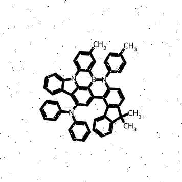 Cc1ccc(N2B3c4cc(C)ccc4-n4c5ccccc5c5c(N(c6ccccc6)c6ccccc6)cc(c3c54)-c3c2ccc2c3-c3ccccc3C2(C)C)cc1